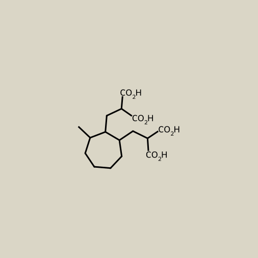 CC1CCCCC(CC(C(=O)O)C(=O)O)C1CC(C(=O)O)C(=O)O